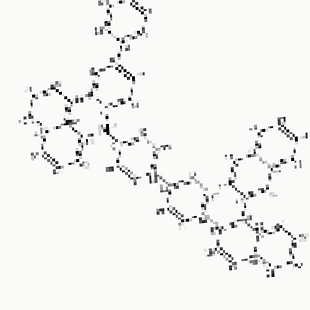 c1ccc(-c2ccc(N(c3ccc(-c4ccc(-c5ccc6ccccc6c5-c5ccc6ccccc6c5)cc4)cc3)c3cccc4ccccc34)cc2)cc1